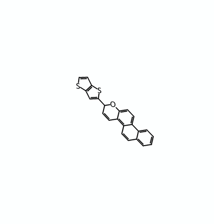 C1=CC(c2cc3sccc3s2)Oc2ccc3c(ccc4ccccc43)c21